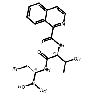 CC(C)C[C@H](NC(=O)[C@@H](NC(=O)c1nccc2ccccc12)C(C)O)B(O)O